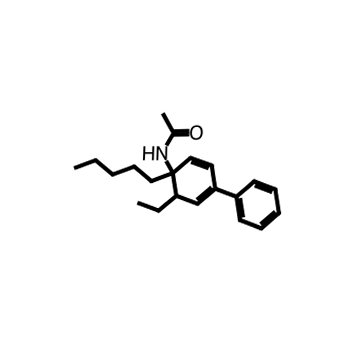 CCCCCC1(NC(C)=O)C=CC(c2ccccc2)=CC1CC